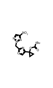 CC(C)(C)C(=O)OC1(c2coc(Cn3ncc([N+](=O)[O-])n3)n2)CC1